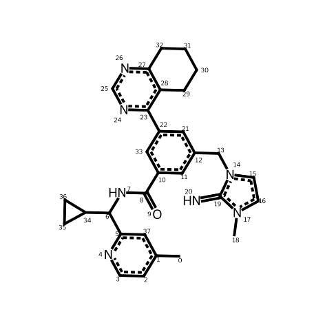 Cc1ccnc(C(NC(=O)c2cc(Cn3ccn(C)c3=N)cc(-c3ncnc4c3CCCC4)c2)C2CC2)c1